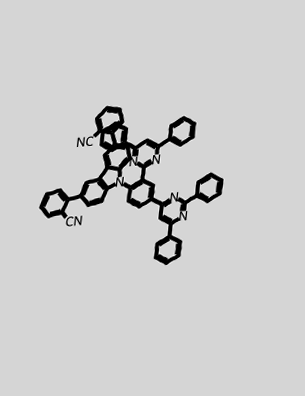 N#Cc1ccccc1-c1ccc2c(c1)c1cc(-c3ccccc3C#N)ccc1n2-c1ccc(-c2cc(-c3ccccc3)nc(-c3ccccc3)n2)cc1-c1nc(-c2ccccc2)cc(-c2ccccc2)n1